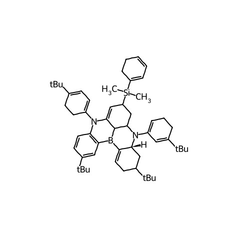 CC(C)(C)C1=CC(N2C3CC([Si](C)(C)C4=CC=CCC4)C=C4C3B(C3=CCC(C(C)(C)C)C[C@H]32)c2cc(C(C)(C)C)ccc2N4C2=CC=C(C(C)(C)C)CC2)=CCC1